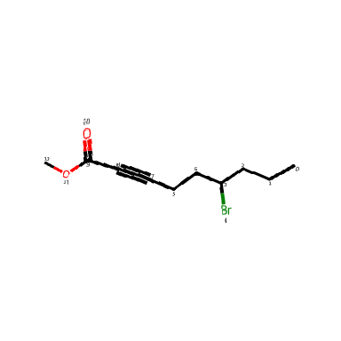 CCCC(Br)CCC#CC(=O)OC